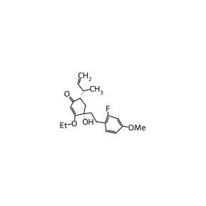 C=CC(C)[C@@H]1C[C@@](O)(CCc2ccc(OC)cc2F)C(OCC)=CC1=O